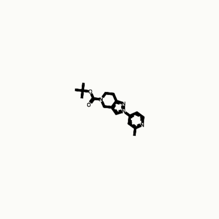 Cc1cc(-n2cc3c(n2)CCN(C(=O)OC(C)(C)C)C3)ccn1